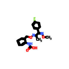 CO/N=C(\C(C)=N\OCc1ccccc1NC(=O)O)c1ccc(F)cc1